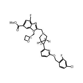 COC(=O)c1cc(F)c2nc(CN3C[C@@H]4C(c5cccc(OCc6ccc(Cl)cc6F)n5)[C@@H]4C3)n(C[C@@H]3CCO3)c2c1